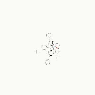 Cc1cccc(N(c2ccccc2)C2(N(c3cccc(C)c3)C3(N(c4ccccc4)c4cccc(C)c4)C=CC(c4ccccc4)=CC3)C=CC(c3ccccc3)=CC2)c1